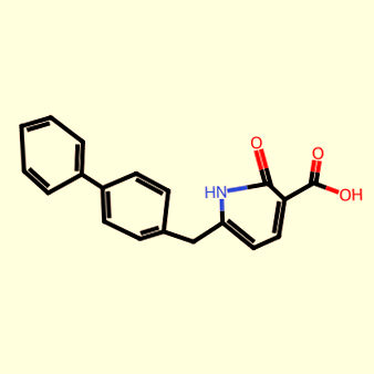 O=C(O)c1ccc(Cc2ccc(-c3ccccc3)cc2)[nH]c1=O